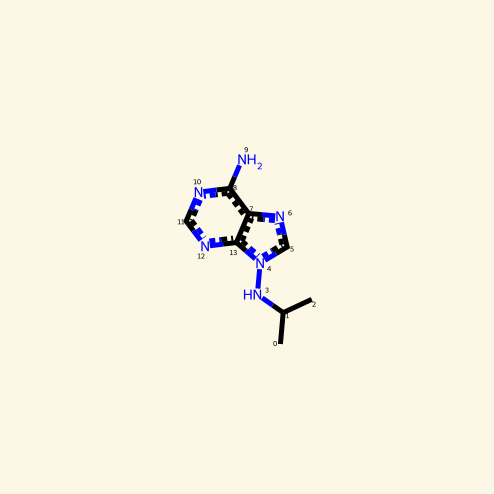 CC(C)Nn1cnc2c(N)ncnc21